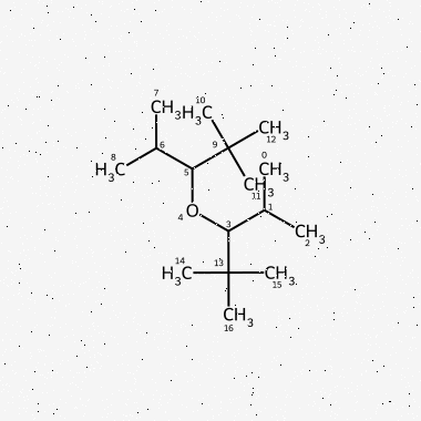 CC(C)C(OC(C(C)C)C(C)(C)C)C(C)(C)C